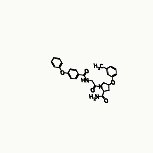 Cc1cccc(OC2CC(C(N)=O)N(C(=O)CNC(=O)c3ccc(Oc4ccccc4)cc3)C2)c1